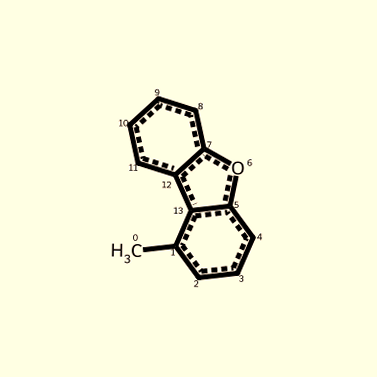 Cc1cccc2oc3c[c]ccc3c12